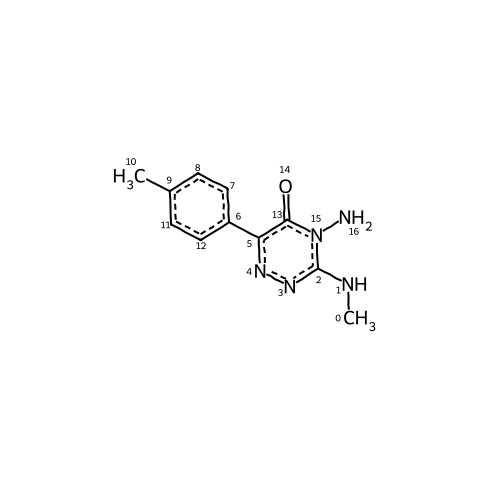 CNc1nnc(-c2ccc(C)cc2)c(=O)n1N